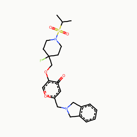 CC(C)S(=O)(=O)N1CCC(F)(COc2coc(CN3Cc4ccccc4C3)cc2=O)CC1